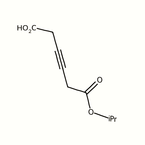 CC(C)OC(=O)CC#CCC(=O)O